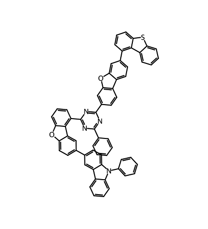 c1ccc(-c2nc(-c3ccc4c(c3)oc3cc(-c5cccc6sc7ccccc7c56)ccc34)nc(-c3cccc4oc5ccc(-c6ccc7c(c6)c6ccccc6n7-c6ccccc6)cc5c34)n2)cc1